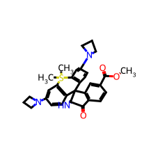 COC(=O)c1ccc2c(c1)C1(C(=N)C2=O)c2ccc(N3CCC3)cc2S(C)(C)c2cc(N3CCC3)ccc21